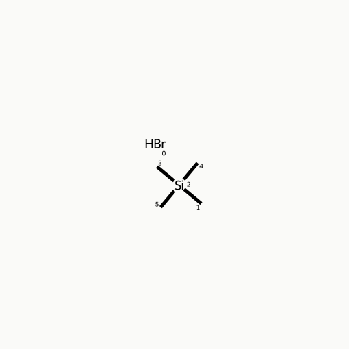 Br.C[Si](C)(C)C